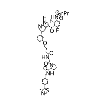 CCCS(=O)(=O)Nc1ccc(F)c(C(=O)c2c[nH]c3ncc(-c4cccc(OCCCC(=O)NCC(=O)N5CCCC5C(=O)NCc5ccc(-c6scnc6C)cc5)c4)cc23)c1F